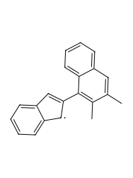 Cc1cc2ccccc2c(C2=Cc3ccccc3[CH]2)c1C